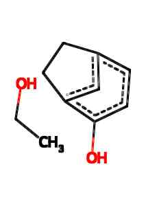 CCO.Oc1ccc2cc1CC2